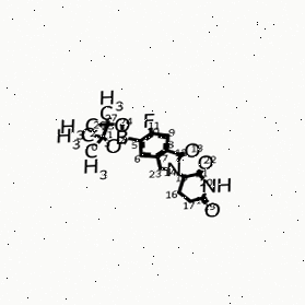 CC1(C)OB(c2cc3c(cc2F)C(=O)N(C2CCC(=O)NC2=O)C3)OC1(C)C